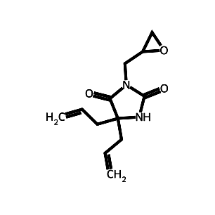 C=CCC1(CC=C)NC(=O)N(CC2CO2)C1=O